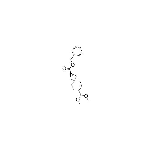 COC(OC)C1CCC2(CC1)CN(C(=O)OCc1ccccc1)C2